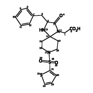 O=C(O)CN1C(=O)C(Cc2ccccc2)NC12CCN(S(=O)(=O)c1cccs1)CC2